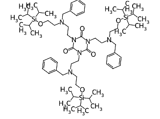 CC(C)[Si](OCCN(CCn1c(=O)n(CCN(CCO[Si](C(C)C)(C(C)C)C(C)C)Cc2ccccc2)c(=O)n(CCN(CCO[Si](C(C)C)(C(C)C)C(C)C)Cc2ccccc2)c1=O)Cc1ccccc1)(C(C)C)C(C)C